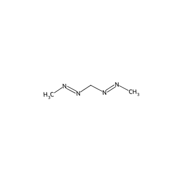 C/N=N/C/N=N/C